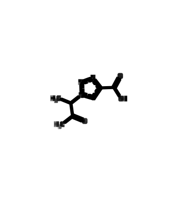 CC(=O)C(C)n1cc(C(=O)O)nn1